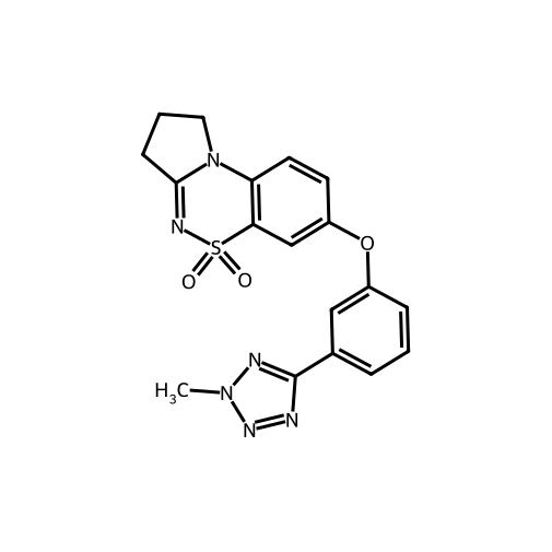 Cn1nnc(-c2cccc(Oc3ccc4c(c3)S(=O)(=O)N=C3CCCN34)c2)n1